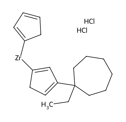 CCC1(C2=CC[C]([Zr][C]3=CC=CC3)=C2)CCCCCC1.Cl.Cl